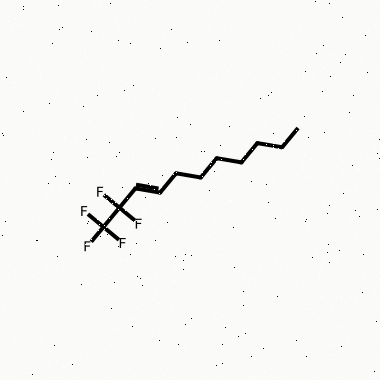 CCCCCCCC=CC(F)(F)C(F)(F)F